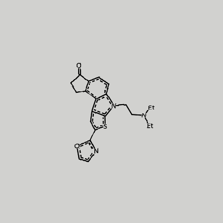 CCN(CC)CCn1c2ccc3c(c2c2cc(-c4ncco4)sc21)CCC3=O